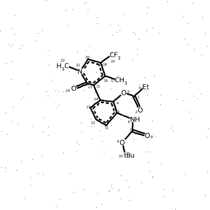 CCC(=O)Oc1c(NC(=O)OC(C)(C)C)cccc1-c1c(C)c(C(F)(F)F)cn(C)c1=O